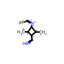 CC(C)/C=N\C1C(C)C(C=N)C1C